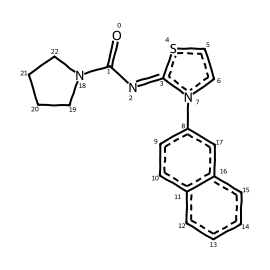 O=C(N=c1sccn1-c1ccc2ccccc2c1)N1CCCC1